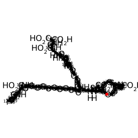 O=C(O)CC[C@H](NC(=O)N[C@@H](CCCCNC(=O)Nc1cccc(-c2cn(CCOCCOCCOCCC(=O)N[C@@H](CCCCNC(=S)Nc3cc(CN4CCOCCOCCN(Cc5cccc(C(=O)O)n5)CCOCCOCC4)nc(C(=O)O)c3)C(=O)NCCOCCOCCOCCOCCOCCOCCOCCOCCC(=O)N[C@@H](CCCCNC(=O)Cc3ccc(I)cc3)C(=O)O)nn2)c1)C(=O)O)C(=O)O